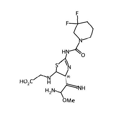 COC(N)C(=N)[C@H]1N=C(NC(=O)N2CCCC(F)(F)C2)SC1NCC(=O)O